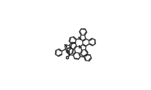 O=c1c2ccc(-c3ccccc3)cc2c2c(-n3c4ccccc4c4c5ccccc5c5c6ccccc6n(-c6cccc(-c7ccccc7)c6)c5c43)ccc3nc(-c4ccccc4)n1c32